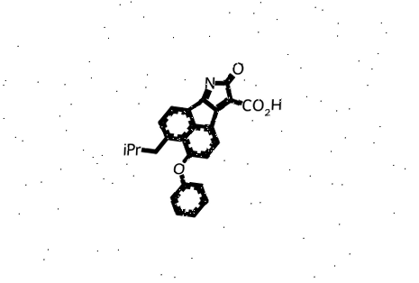 CC(C)Cc1ccc2c3c(ccc(Oc4ccccc4)c13)C1=C(C(=O)O)C(=O)N=C12